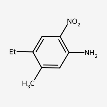 CCc1cc([N+](=O)[O-])c(N)cc1C